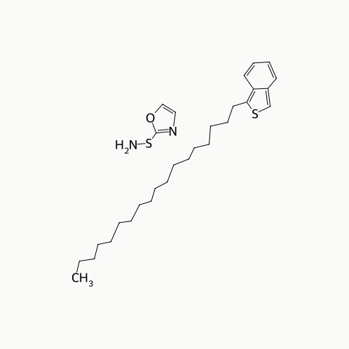 CCCCCCCCCCCCCCCCCCc1scc2ccccc12.NSc1ncco1